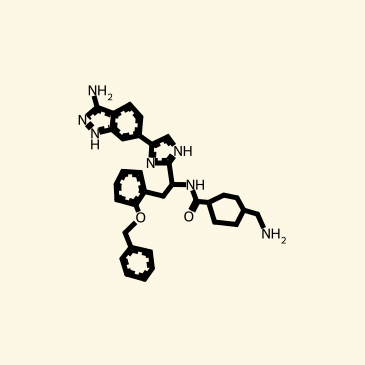 NCC1CCC(C(=O)NC(Cc2ccccc2OCc2ccccc2)c2nc(-c3ccc4c(N)n[nH]c4c3)c[nH]2)CC1